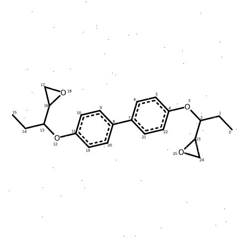 CCC(Oc1ccc(-c2ccc(OC(CC)C3CO3)cc2)cc1)C1CO1